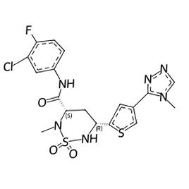 CN1[C@H](C(=O)Nc2ccc(F)c(Cl)c2)C[C@H](c2cc(-c3nncn3C)cs2)NS1(=O)=O